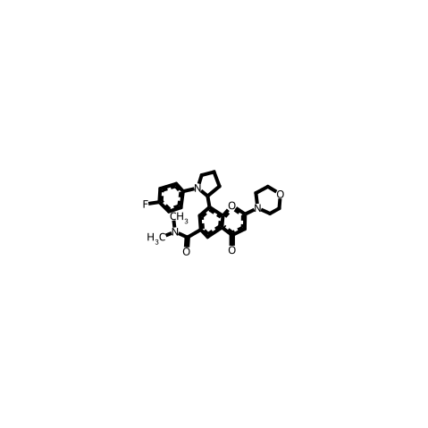 CN(C)C(=O)c1cc(C2CCCN2c2ccc(F)cc2)c2oc(N3CCOCC3)cc(=O)c2c1